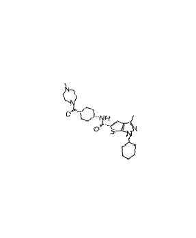 Cc1nn(C2CCCCC2)c2sc(C(=O)N[C@H]3CC[C@H](C(=O)N4CCN(C)CC4)CC3)cc12